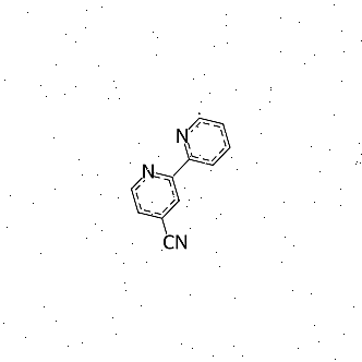 N#Cc1ccnc(-c2ccc[c]n2)c1